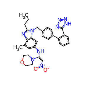 CCCc1nc2c(C)cc(NC(=C[N+](=O)[O-])N3CCOCC3)cc2n1Cc1ccc(-c2ccccc2-c2nnn[nH]2)cc1